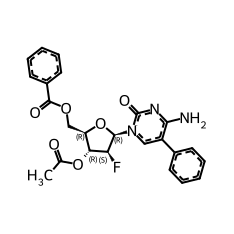 CC(=O)O[C@H]1[C@H](F)[C@H](n2cc(-c3ccccc3)c(N)nc2=O)O[C@@H]1COC(=O)c1ccccc1